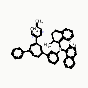 C=C/C=C\C(=C/C)C1=CC(c2ccccc2)=CCC(c2cccc(B(C3=c4ccccc4=CCC3C)c3c(C)ccc4ccccc34)c2)=C1